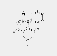 CC(C)Cc1cc2ccccc2c(C(=O)O)c1CC(C)C